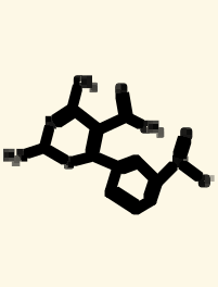 CC(=O)C1=C(c2cccc([N+](=O)[O-])c2)SC(N)N=C1C